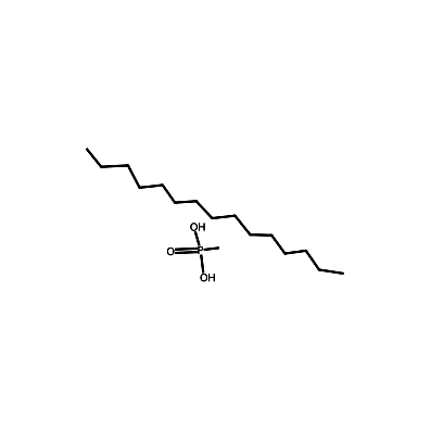 CCCCCCCCCCCCCCC.CP(=O)(O)O